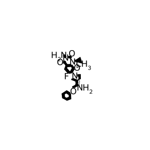 COc1c(N2CC[C@@H]([C@@H](N)COc3ccccc3)C2)c(F)cc2c(=O)n(N)c(=O)n(C3CC3)c12